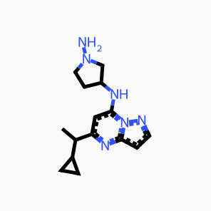 CC(c1cc(NC2CCN(N)C2)n2nccc2n1)C1CC1